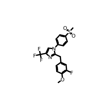 COc1ccc(Cc2nc(C(F)(F)F)cn2-c2ccc(S(C)(=O)=O)cc2)cc1F